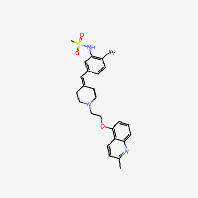 Cc1ccc2c(OCCN3CCC(=Cc4ccc(C(C)C)c(NS(C)(=O)=O)c4)CC3)cccc2n1